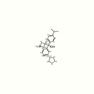 CC(C)c1ccc([C@](O)(c2ccnc(C3CCCC3)c2)C2(C)CN(C)C2)cc1